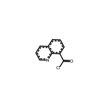 O=C(Cl)c1cccc2cccnc12